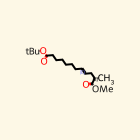 COC(=O)[C@@H](C)C/C=C/CCCCCCC(=O)OC(C)(C)C